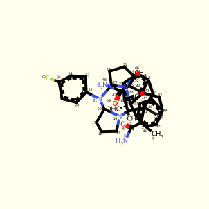 CCC1(C(C)C(N)=O)Cc2ccc(cc2)[C@@]1([C]=O)N1CCCC1N(c1ccc(F)cc1)C1CCCN1[C@]1([C]=O)c2ccc(cc2)CC1(CC)C(C)C(N)=O